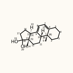 C[C@]12CCCCC1=CC=C1[C@H]2CC[C@@]2(C)[C@H]1CCC2(O)O